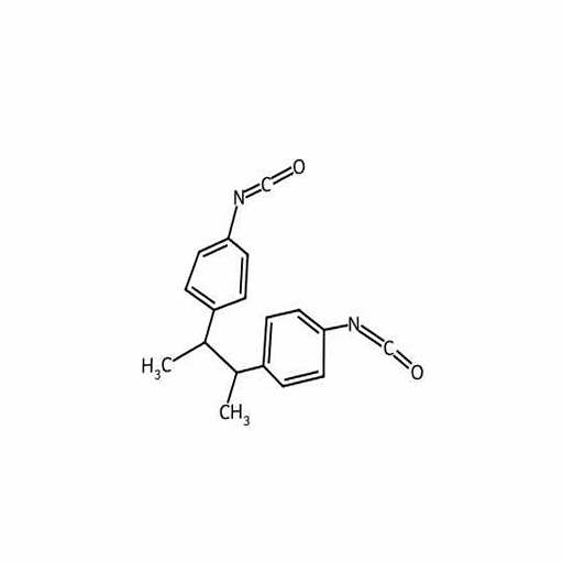 CC(c1ccc(N=C=O)cc1)C(C)c1ccc(N=C=O)cc1